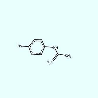 C=C(C)Nc1ccc(S)cc1